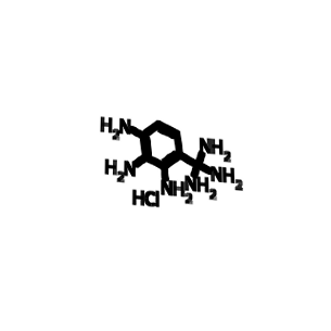 Cl.Nc1ccc(C(N)(N)N)c(N)c1N